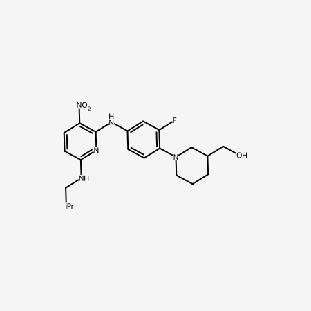 CC(C)CNc1ccc([N+](=O)[O-])c(Nc2ccc(N3CCCC(CO)C3)c(F)c2)n1